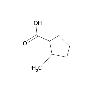 [CH2]C1CCCC1C(=O)O